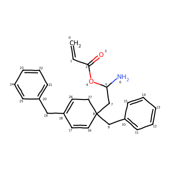 C=CC(=O)OC(N)CC1(Cc2ccccc2)C=CC(Cc2ccccc2)=CC1